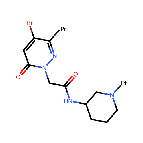 CCN1CCCC(NC(=O)Cn2nc(C(C)C)c(Br)cc2=O)C1